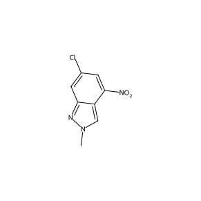 Cn1cc2c([N+](=O)[O-])cc(Cl)cc2n1